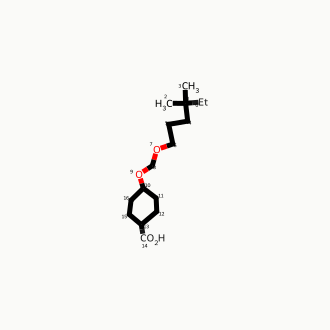 CCC(C)(C)CCCOCOC1CCC(C(=O)O)CC1